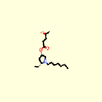 CCCCCCCN1C[C@H](OC(=O)CCC(C)=O)C[C@H]1CC